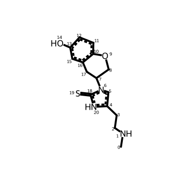 CNCCc1cn(C2COc3ccc(O)cc3C2)c(=S)[nH]1